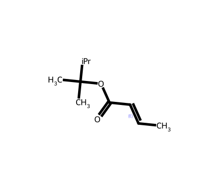 C/C=C/C(=O)OC(C)(C)C(C)C